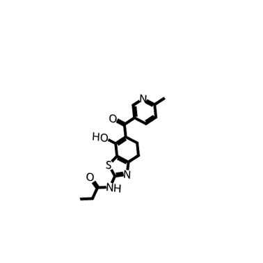 CCC(=O)Nc1nc2c(s1)C(O)=C(C(=O)c1ccc(C)nc1)CC2